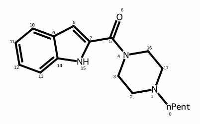 CCCCCN1CCN(C(=O)c2cc3ccccc3[nH]2)CC1